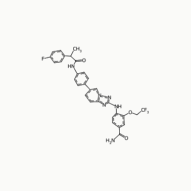 CC(C(=O)Nc1ccc(-c2ccc3nc(Nc4ccc(C(N)=O)cc4OCC(F)(F)F)nn3c2)cc1)c1ccc(F)cc1